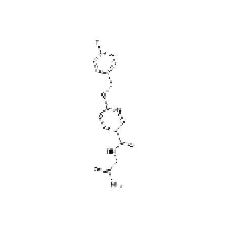 NC(=O)CNC(=O)c1ccc(OCc2ccc(F)cc2)nc1